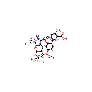 COc1ccc(-c2ccc(C)c(C(=O)O)n2)c(OC)c1[C@H]1C2=C(CC(C)(C)CC2=O)OC2=C1C(=O)N(C)[C@@H]2C(C)C